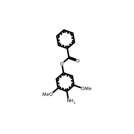 COc1cc(OC(=O)c2ccccc2)cc(OC)c1N